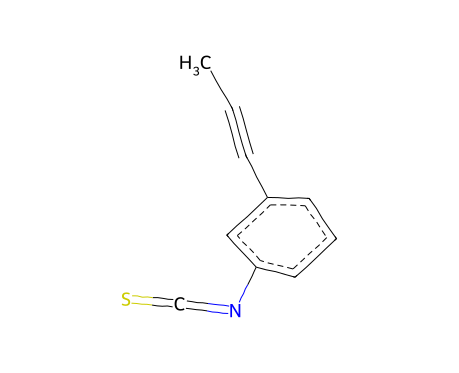 CC#Cc1cccc(N=C=S)c1